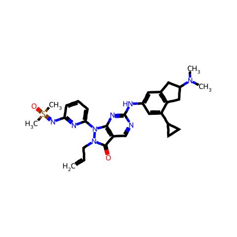 C=CCn1c(=O)c2cnc(Nc3cc4c(c(C5CC5)c3)CC(N(C)C)C4)nc2n1-c1cccc(N=S(C)(C)=O)n1